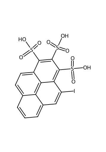 O=S(=O)(O)c1c(S(=O)(=O)O)c2ccc3cccc4cc(I)c(c1S(=O)(=O)O)c2c34